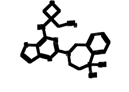 NCC1(Nc2nc(N3CCS(O)(O)c4ccccc4C3)nc3ccsc23)COC1